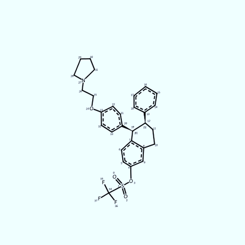 O=S(=O)(Oc1ccc2c(c1)CC[C@H](c1ccccc1)[C@@H]2c1ccc(OCCN2CCCC2)cc1)C(F)(F)F